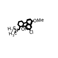 COc1ccc(C2CCCC(CN(C)C)C2(O)c2cccc(Cl)c2)cc1